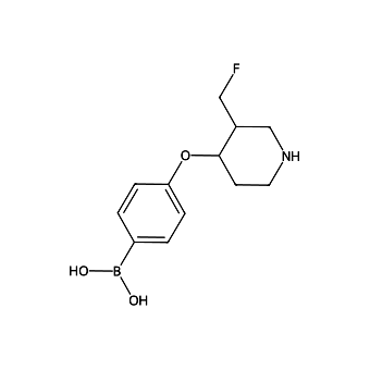 OB(O)c1ccc(OC2CCNCC2CF)cc1